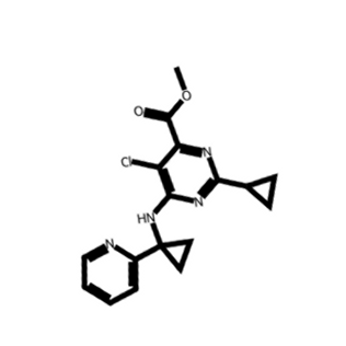 COC(=O)c1nc(C2CC2)nc(NC2(c3ccccn3)CC2)c1Cl